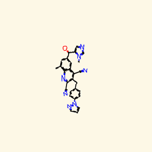 Cc1cc(C(=O)c2cncn2C)cc2c(C#N)c(Cc3ccc(-n4cccn4)cc3)c(C#N)nc12